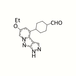 CCOc1cc(C2CCC(C=O)CC2)c2c3cn[nH]c3nn2c1